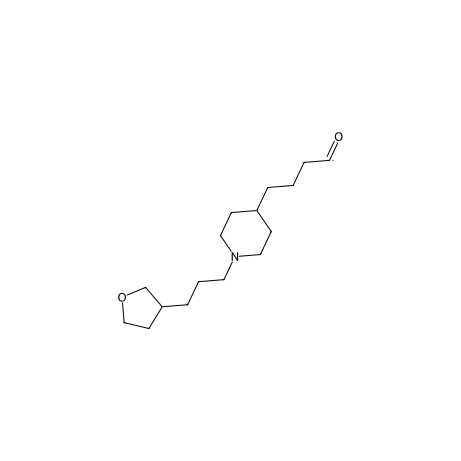 O=[C]CCCC1CCN(CCCC2CCOC2)CC1